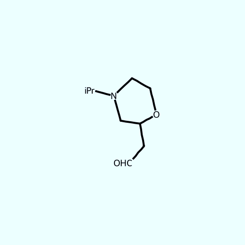 CC(C)N1CCOC(CC=O)C1